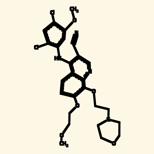 COCCOc1ccc2c(Nc3cc(OC)c(Cl)cc3Cl)c(C#N)cnc2c1OCCN1CCOCC1